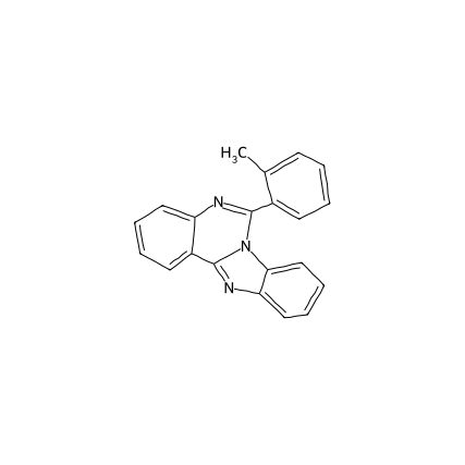 Cc1ccccc1-c1nc2ccccc2c2nc3ccccc3n12